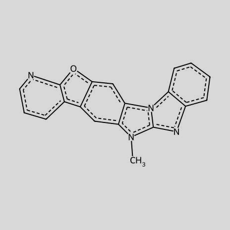 Cn1c2cc3c(cc2n2c4ccccc4nc12)oc1ncccc13